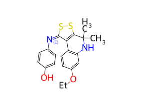 CCOc1ccc2c(c1)NC(C)(C)c1ss/c(=N/c3ccc(O)cc3)c1-2